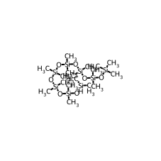 C[SiH](C)O[Si](C)(C)O[Si](C)(C)O[Si](C)(C)O[Si](C)(C)O[Si](C)(C)O[Si](C)(C)O[Si](C)(C)C